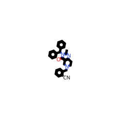 Cc1nc2c(c(=O)n1C(c1ccccc1)c1ccccc1)CN(Cc1ccccc1C#N)CC2